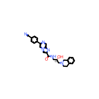 N#Cc1ccc(-c2cn3cc(C(=O)NC[C@H](O)CN4CCc5ccccc5C4)nc3cn2)cc1